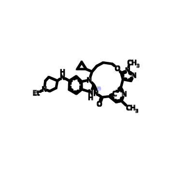 CCN1CCC(Nc2ccc3c(c2)N2/C(=N/C(=O)c4cc(C)nc(c4)-c4cnn(C)c4OCCCC2C2CC2)N3)CC1